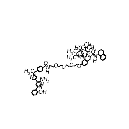 CN[C@@H](C)C(=O)N[C@H](C(=O)N1Cc2cc(OCCOCCOCCOCCNC(=O)c3ccc(C(C)n4cc(-c5cc(-c6ccccc6O)nnc5N)cn4)cc3)ccc2C[C@H]1C(=O)N[C@@H]1CCCc2ccccc21)C(C)(C)C